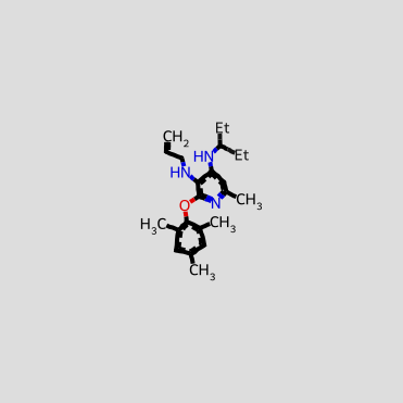 C=CCNc1c(NC(CC)CC)cc(C)nc1Oc1c(C)cc(C)cc1C